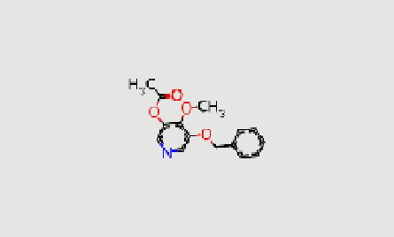 COc1c(OCc2ccccc2)cncc1OC(C)=O